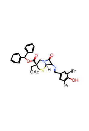 CC(=O)OCC1(C(=O)OC(c2ccccc2)c2ccccc2)CS[C@@H]2C(N=Cc3cc(C(C)C)c(O)c(C(C)C)c3)C(=O)N2C1